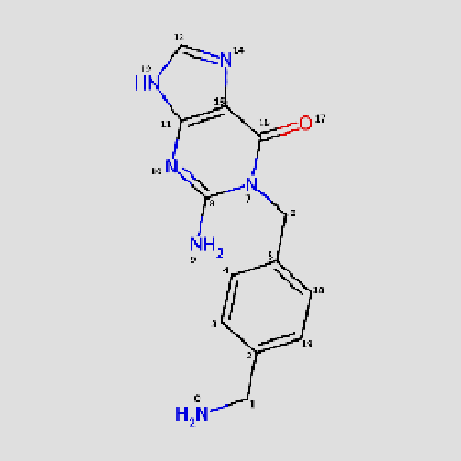 NCc1ccc(Cn2c(N)nc3[nH]cnc3c2=O)cc1